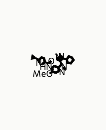 COc1cc2ncnc(-c3cn(C)nc3-c3ccccc3)c2cc1NC(=O)c1ccc(C2CC2)nc1